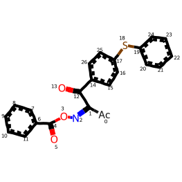 CC(=O)C(=NOC(=O)c1ccccc1)C(=O)c1ccc(Sc2ccccc2)cc1